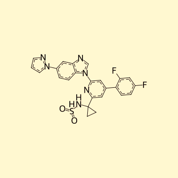 O=[SH](=O)NC1(c2cc(-c3ccc(F)cc3F)cc(-n3cnc4cc(-n5cccn5)ccc43)n2)CC1